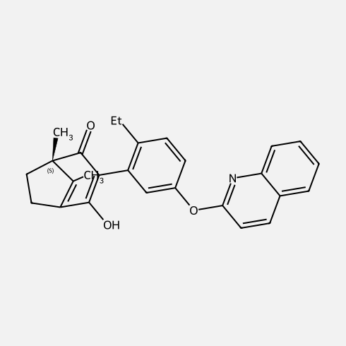 CCc1ccc(Oc2ccc3ccccc3n2)cc1C1=C(O)C2=C(C)[C@](C)(CC2)C1=O